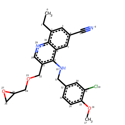 CCc1cc(C#N)cc2c(NCc3ccc(OC)c(Cl)c3)c(COCC3CO3)cnc12